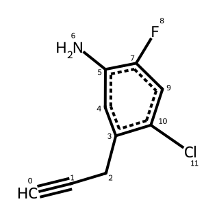 C#CCc1cc(N)c(F)cc1Cl